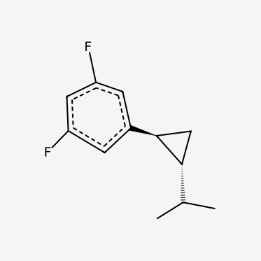 CC(C)[C@H]1C[C@@H]1c1cc(F)cc(F)c1